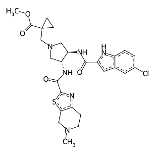 COC(=O)C1(CN2C[C@@H](NC(=O)c3cc4cc(Cl)ccc4[nH]3)[C@H](NC(=O)c3nc4c(s3)CN(C)CC4)C2)CC1